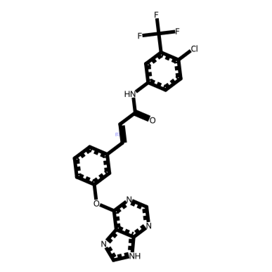 O=C(/C=C/c1cccc(Oc2ncnc3[nH]cnc23)c1)Nc1ccc(Cl)c(C(F)(F)F)c1